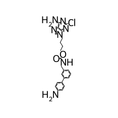 Nc1ccc(-c2cccc(CNC(=O)OCCCCn3cnc4c(N)nc(Cl)nc43)c2)cc1